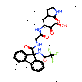 O=C(CNC(=O)C1(NC(=O)C(F)(F)F)c2ccccc2-c2ccccc21)N[C@@H](CC1CCNC1=O)C(=O)CO